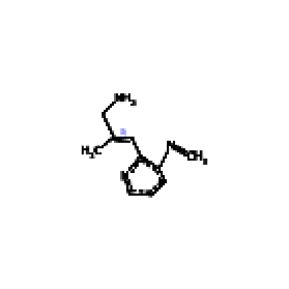 C=Nc1cccnc1/C=C(\C)CN